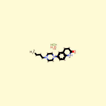 CCCCN1CCN(c2ccc3c(c2)CCC(=O)N3)CC1.Cl.O